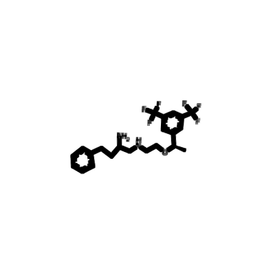 C[C@@H](OCCNCC(N)CCc1ccccc1)c1cc(C(F)(F)F)cc(C(F)(F)F)c1